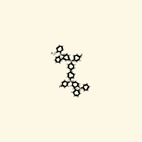 CC1C=CC=CC1n1c2ccccc2c2cc(N(c3ccc(F)cc3)c3ccc(-c4ccc(N(c5ccc(F)cc5)c5ccc6c(c5)c5ccccc5n6-c5ccccc5)cc4)cc3)ccc21